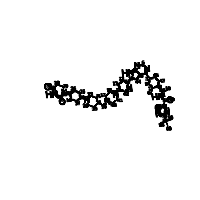 Cc1cc(-c2ncnc3[nH]c(-c4ccc(N5CCN(CC6CCN(c7ccc(N8CCC(=O)NC8=O)cc7)CC6)CC5)cn4)cc23)ccc1C(C)NC(=O)c1nc(C(C)(C)C)no1